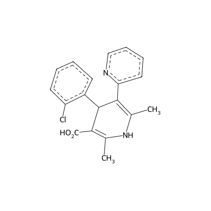 CC1=C(C(=O)O)C(c2ccccc2Cl)C(c2ccccn2)=C(C)N1